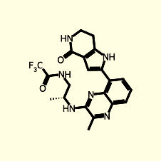 Cc1nc2cccc(-c3cc4c([nH]3)CCNC4=O)c2nc1N[C@H](C)CNC(=O)C(F)(F)F